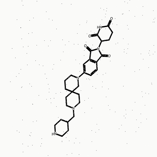 O=C1CCC(N2C(=O)c3ccc(N4CCCC5(CCN(CC6CCNCC6)CC5)C4)cc3C2=O)C(=O)N1